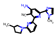 CC1CCN(c2cccc(-c3nc(-c4nccn4C)cc(N)c3C#N)n2)C1